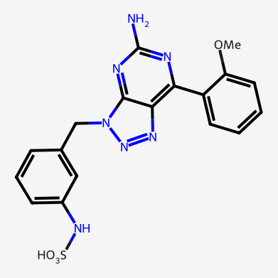 COc1ccccc1-c1nc(N)nc2c1nnn2Cc1cccc(NS(=O)(=O)O)c1